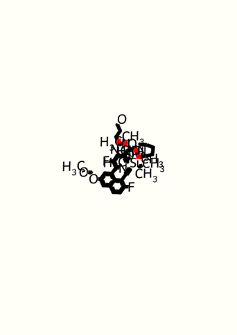 COCOc1cc(-c2ncc3c(N4CC5CCC(C4)N5C(=O)OC(C)(C)C)nc(CCC=O)nc3c2F)c2c(C#C[Si](C(C)C)(C(C)C)C(C)C)c(F)ccc2c1